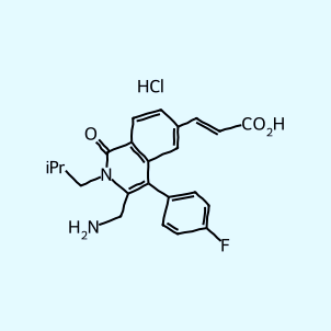 CC(C)Cn1c(CN)c(-c2ccc(F)cc2)c2cc(C=CC(=O)O)ccc2c1=O.Cl